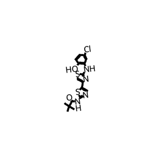 CC(C)(C)C(=O)Nc1ncc(-c2csc(Nc3cc(Cl)ccc3O)n2)s1